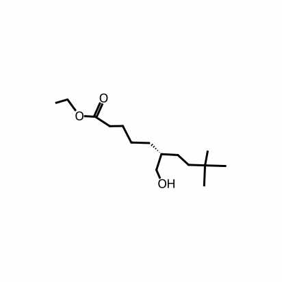 CCOC(=O)CCCC[C@@H](CO)CCC(C)(C)C